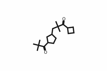 CC(C)(C)C(=O)C1CCC(CC(C)(C)C(=O)C2CCC2)C1